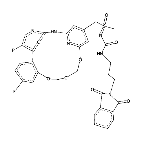 CS(=O)(Cc1cc2nc(c1)OCCCOc1cc(F)ccc1-c1cc(ncc1F)N2)=NC(=O)NCCCN1C(=O)c2ccccc2C1=O